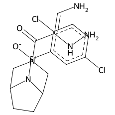 N/C=C(\NN)C(=O)N1CC2CCC(C1)N2[S+]([O-])c1cc(Cl)ccc1Cl